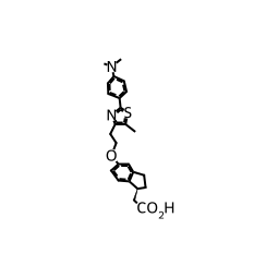 Cc1sc(-c2ccc(N(C)C)cc2)nc1CCOc1ccc2c(c1)CC[C@H]2CC(=O)O